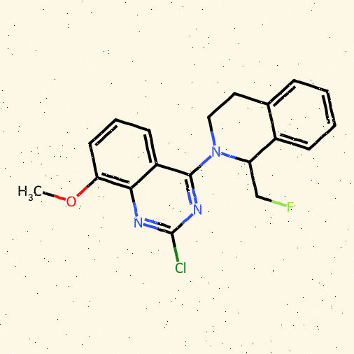 COc1cccc2c(N3CCc4ccccc4C3CF)nc(Cl)nc12